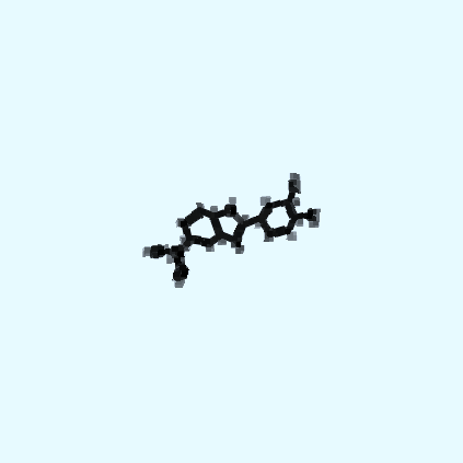 O=[N+]([O-])c1ccc2oc(-c3ccc(Cl)c(Cl)c3)nc2c1